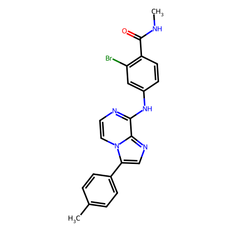 CNC(=O)c1ccc(Nc2nccn3c(-c4ccc(C)cc4)cnc23)cc1Br